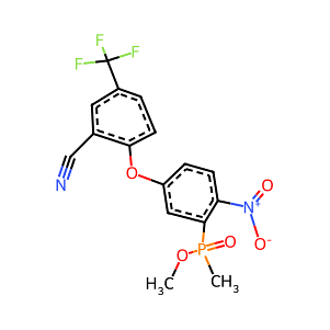 COP(C)(=O)c1cc(Oc2ccc(C(F)(F)F)cc2C#N)ccc1[N+](=O)[O-]